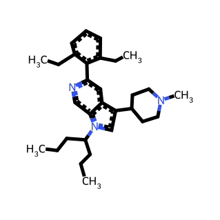 CCCC(CCC)n1cc(C2CCN(C)CC2)c2cc(-c3c(CC)cccc3CC)ncc21